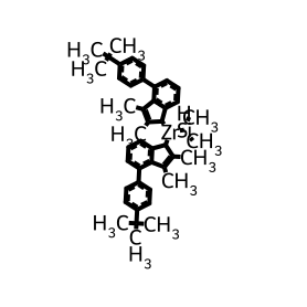 CC1=C(C)[CH]([Zr]([CH]2C(C)=C(C)c3c(-c4ccc(C(C)(C)C)cc4)cccc32)[SiH](C)C)c2cccc(-c3ccc(C(C)(C)C)cc3)c21